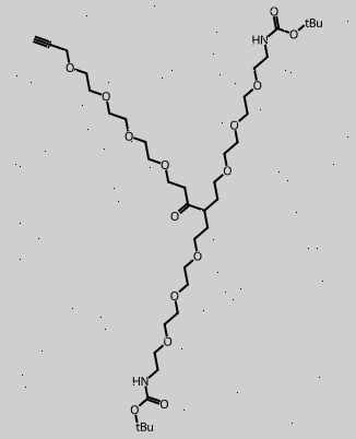 C#CCOCCOCCOCCOCCC(=O)C(CCOCCOCCOCCNC(=O)OC(C)(C)C)CCOCCOCCOCCNC(=O)OC(C)(C)C